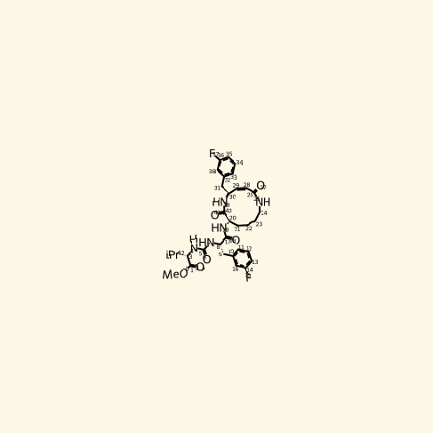 COC(=O)[C@@H](NC(=O)N[C@@H](Cc1cccc(F)c1)C(=O)N[C@H]1CCCCNC(=O)C=C[C@H](Cc2cccc(F)c2)NC1=O)C(C)C